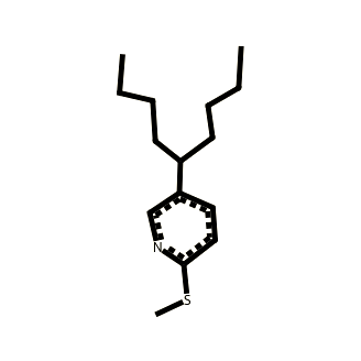 CCCCC(CCCC)c1ccc(SC)nc1